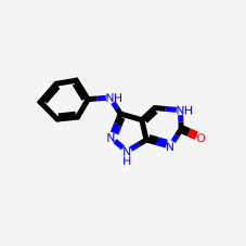 O=c1nc2[nH]nc(Nc3ccccc3)c2c[nH]1